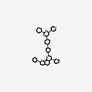 c1ccc(-c2ccc3ccc4c(-c5ccccc5)cc(-c5ccc(-c6ccc(-c7cc(-c8ccncc8)nc(-c8ccccc8)n7)cc6)cc5)nc4c3n2)cc1